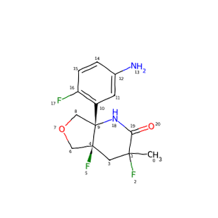 CC1(F)C[C@]2(F)COC[C@]2(c2cc(N)ccc2F)NC1=O